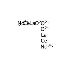 [Ce].[Ce].[La].[La].[Nd+3].[Nd+3].[O-2].[O-2].[O-2]